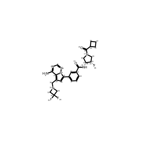 Nc1ncnn2c(-c3cccc(C(=O)N[C@@H]4CN(C(=O)C5CCC5)C[C@@H]4F)c3)cc(CN3CC(F)(F)C3)c12